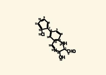 O=CC1Nc2ccc(-c3ccccc3Cl)cc2C=NC1O